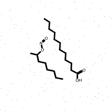 CCCCCCC(C)ON=O.CCCCCCCCCCCC(=O)O